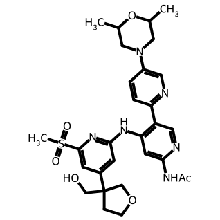 CC(=O)Nc1cc(Nc2cc(C3(CO)CCOC3)cc(S(C)(=O)=O)n2)c(-c2ccc(N3CC(C)OC(C)C3)cn2)cn1